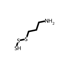 NCCCSSS